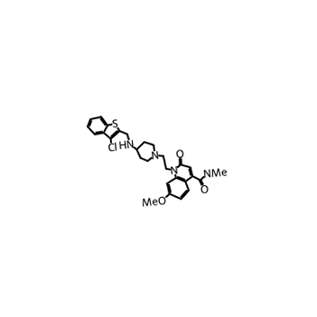 CNC(=O)c1cc(=O)n(CCN2CCC(NCc3sc4ccccc4c3Cl)CC2)c2cc(OC)ccc12